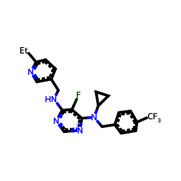 CCc1ccc(CNc2ncnc(N(Cc3ccc(C(F)(F)F)cc3)C3CC3)c2F)cn1